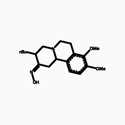 CCCCC1CN2CCc3c(ccc(OC)c3OC)C2CC1=NO